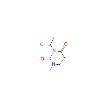 CC(=O)N1C(=O)CCN(C)C1=O